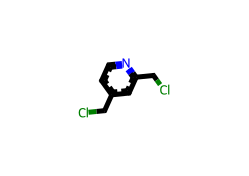 ClCc1ccnc(CCl)c1